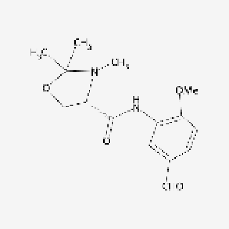 COc1ccc(C=O)cc1NC(=O)[C@@H]1COC(C)(C)N1C